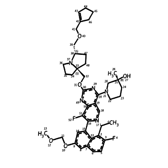 CCc1c(F)ccc2cc(OCOC)cc(-c3ncc4c(N5CCC[C@@](C)(O)C5)nc(OC[C@@]56CCCN5[C@H](COCC5=CCCC5)CC6)nc4c3F)c12